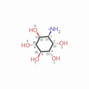 N[C@H]1[C@H](O)[C@H](O)[C@@H](O)[C@H](O)[C@H]1O